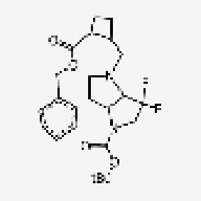 CC(C)(C)OC(=O)N1CC(F)(F)C2C1CCN2CC1CCC1C(=O)OCc1ccccc1